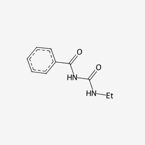 [CH2]CNC(=O)NC(=O)c1ccccc1